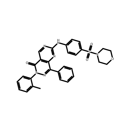 Cc1ccccc1-n1nc(-c2ccccc2)c2nc(Nc3ccc(S(=O)(=O)N4CCOCC4)cc3)ncc2c1=O